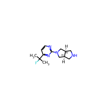 CC(C)(F)c1ccnc(N2C[C@H]3CNC[C@H]3C2)n1